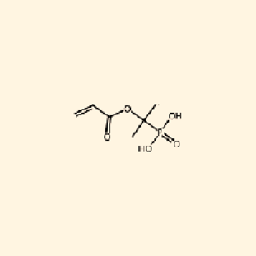 [CH2]C(C)(OC(=O)C=C)P(=O)(O)O